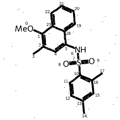 COc1c(C)cc(NS(=O)(=O)c2ccc(C)cc2C)c2ccccc12